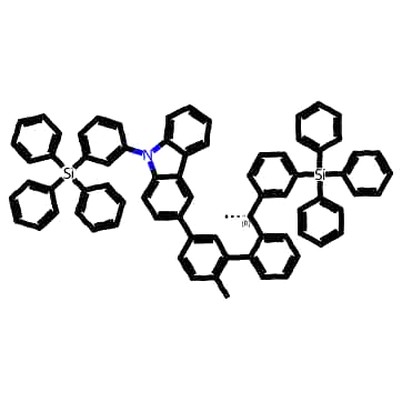 Cc1ccc(-c2ccc3c(c2)c2ccccc2n3-c2cccc([Si](c3ccccc3)(c3ccccc3)c3ccccc3)c2)cc1-c1ccccc1[C@H](C)c1cccc([Si](c2ccccc2)(c2ccccc2)c2ccccc2)c1